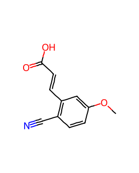 COc1ccc(C#N)c(C=CC(=O)O)c1